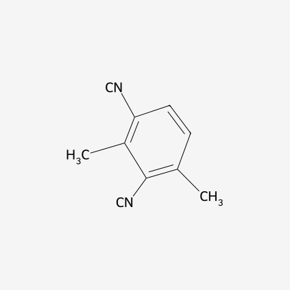 [C-]#[N+]c1ccc(C)c([N+]#[C-])c1C